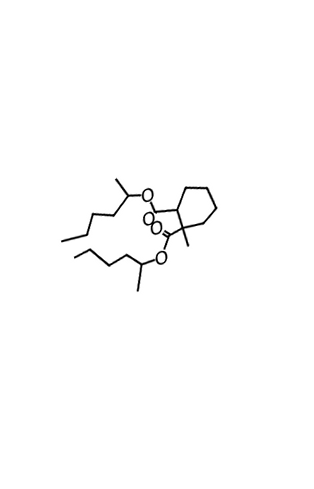 CCCCC(C)OC(=O)C1CCCCC1(C)C(=O)OC(C)CCCC